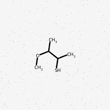 COC(C)C(C)S